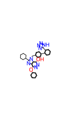 Oc1nnc(Oc2ccccc2)c2nc(C3CCCCC3)n(Cc3ccc(-c4ccccc4-c4nnn[nH]4)cc3)c12